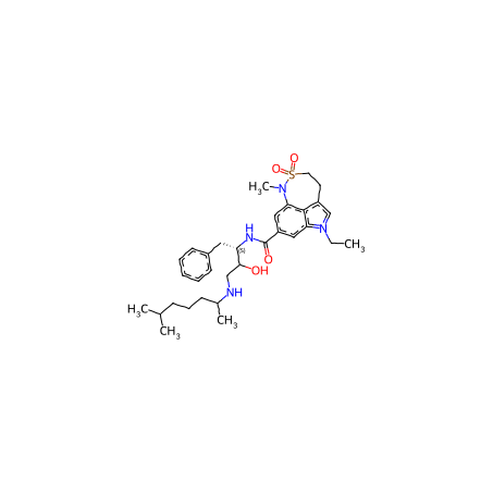 CCn1cc2c3c(cc(C(=O)N[C@@H](Cc4ccccc4)C(O)CNC(C)CCCC(C)C)cc31)N(C)S(=O)(=O)CC2